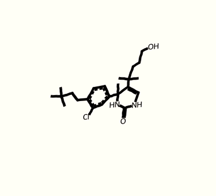 CC(C)(C)CCc1ccc(C2(C)NC(=O)NC=C2C(C)(C)CCCO)cc1Cl